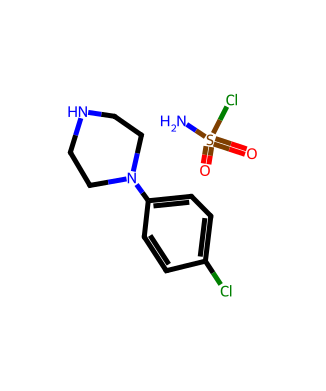 Clc1ccc(N2CCNCC2)cc1.NS(=O)(=O)Cl